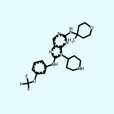 CC1(Nc2ncc3nc(Nc4cccc(OC(F)(F)F)c4)n(C4CCNCC4)c3n2)CCOCC1